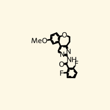 COc1ccc2c(c1)-c1cnc(NC(=O)c3c(F)cccc3F)nc1CCO2